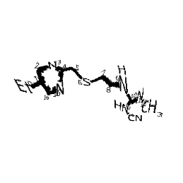 CCc1cnc(CSCCNC(=NC)NC#N)nc1